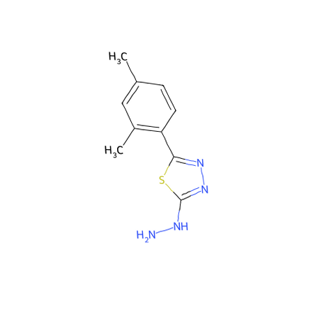 Cc1ccc(-c2nnc(NN)s2)c(C)c1